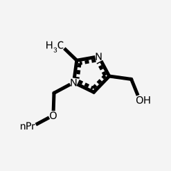 CCCOCn1cc(CO)nc1C